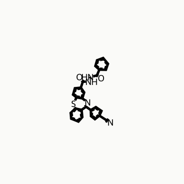 N#Cc1ccc(C2=Nc3cc(C(=O)NNC(=O)c4ccccc4)ccc3Sc3ccccc32)cc1